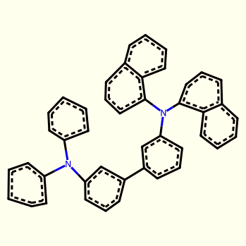 c1ccc(N(c2ccccc2)c2cccc(-c3cccc(N(c4cccc5ccccc45)c4cccc5ccccc45)c3)c2)cc1